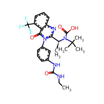 CCNC(=O)Nc1cccc(-n2c([C@H](C)N(C(=O)O)C(C)(C)C)nc3cccc(C(F)(F)F)c3c2=O)c1